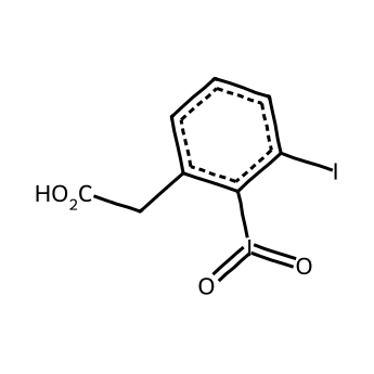 O=C(O)Cc1cccc(I)c1I(=O)=O